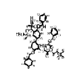 CC(C)(C)[Si](C)(C)O[C@H](c1cc(-c2ccc(OCc3ccccc3)c(C[C@H](NC(=O)OCc3ccccc3)C(=O)OCC[Si](C)(C)C)c2)ccc1OCc1ccccc1)[C@](C)(N)C(=O)O